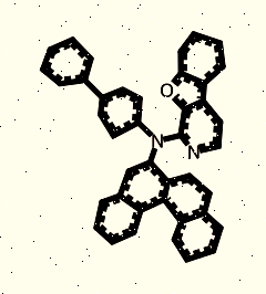 c1ccc(-c2ccc(N(c3cc4ccccc4c4c3ccc3ccccc34)c3nccc4c3oc3ccccc34)cc2)cc1